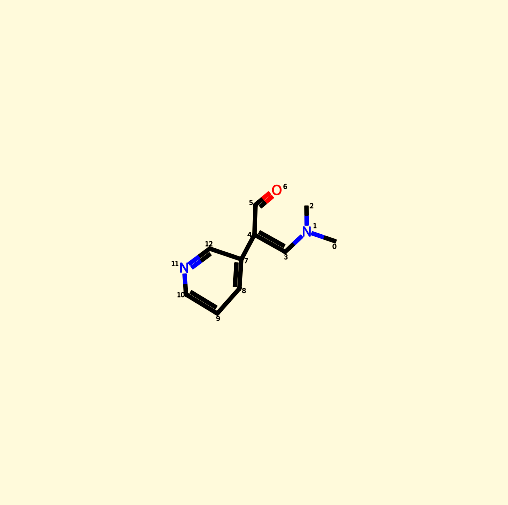 CN(C)C=C(C=O)c1cccnc1